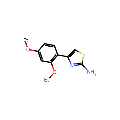 CCOc1ccc(-c2csc(N)n2)c(OCC)c1